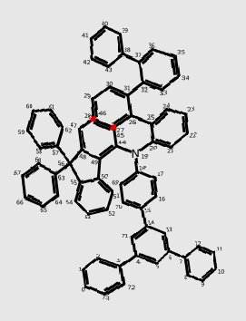 c1ccc(-c2cc(-c3ccccc3)cc(-c3ccc(N(c4ccccc4-c4ccccc4-c4ccccc4-c4ccccc4)c4cccc5c4-c4ccccc4C5(c4ccccc4)c4ccccc4)cc3)c2)cc1